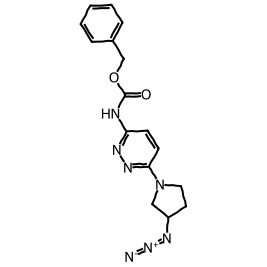 [N-]=[N+]=NC1CCN(c2ccc(NC(=O)OCc3ccccc3)nn2)C1